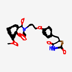 COc1cccc2c1OCN(CCOc1ccc(CC3SC(=O)NC3=O)cc1)C2=O